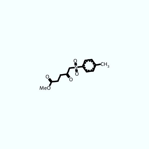 COC(=O)CCC(=O)CS(=O)(=O)c1ccc(C)cc1